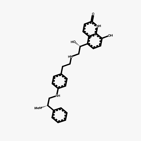 CN[C@H](CNc1ccc(CCNC[C@H](O)c2ccc(O)c3[nH]c(=O)ccc23)cc1)c1ccccc1